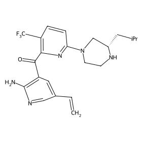 C=Cc1cnc(N)c(C(=O)c2nc(N3CCN[C@@H](CC(C)C)C3)ccc2C(F)(F)F)c1